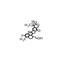 CC[C@@]1(O)C(=O)OCc2c1cc1n(c2=O)Cc2c-1nc1cc(F)c(C)c3c1c2[C@@H](CCO)CC3